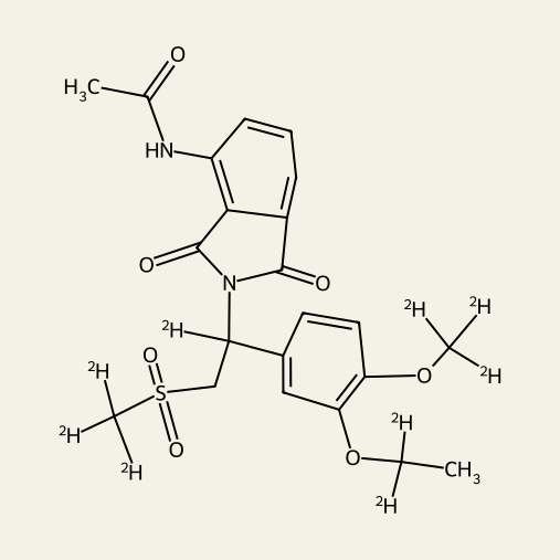 [2H]C([2H])([2H])Oc1ccc(C([2H])(CS(=O)(=O)C([2H])([2H])[2H])N2C(=O)c3cccc(NC(C)=O)c3C2=O)cc1OC([2H])([2H])C